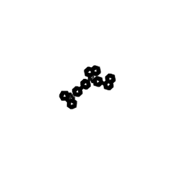 c1ccc2c(-c3ccc(N(c4ccc(-c5ccc(-n6c7ccccc7c7ccccc76)cc5)cc4)c4cccc5ccccc45)cc3)cccc2c1